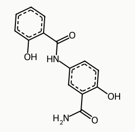 NC(=O)c1cc(NC(=O)c2ccccc2O)ccc1O